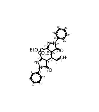 [CH]=CC(C1C(=O)N(c2ccccc2)N=C1C(=O)OCC)C1C(=O)N(c2ccccc2)N=C1C(=O)OCC